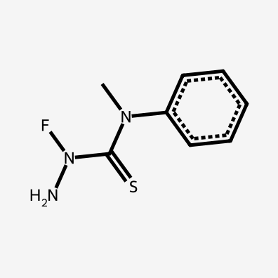 CN(C(=S)N(N)F)c1ccccc1